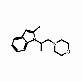 Cc1cc2ccccc2n1C(C)CN1CCOCC1